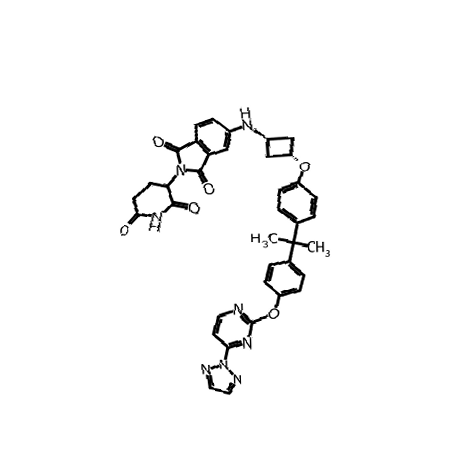 CC(C)(c1ccc(Oc2nccc(-n3nccn3)n2)cc1)c1ccc(O[C@H]2C[C@H](Nc3ccc4c(c3)C(=O)N(C3CCC(=O)NC3=O)C4=O)C2)cc1